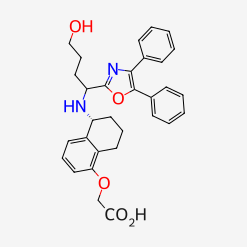 O=C(O)COc1cccc2c1CCC[C@H]2NC(CCCO)c1nc(-c2ccccc2)c(-c2ccccc2)o1